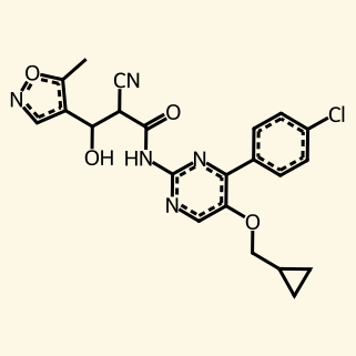 Cc1oncc1C(O)C(C#N)C(=O)Nc1ncc(OCC2CC2)c(-c2ccc(Cl)cc2)n1